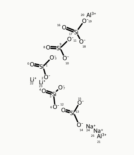 O=[Si]([O-])[O-].O=[Si]([O-])[O-].O=[Si]([O-])[O-].O=[Si]([O-])[O-].O=[Si]([O-])[O-].[Al+3].[Al+3].[Li+].[Li+].[Na+].[Na+]